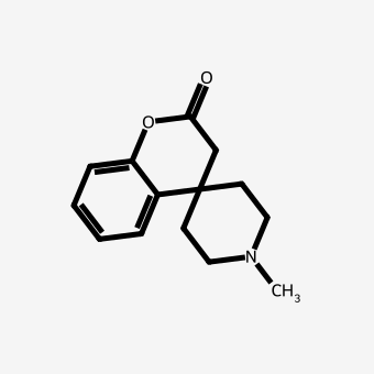 CN1CCC2(CC1)CC(=O)Oc1ccccc12